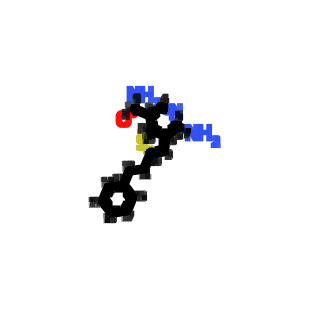 NC(=O)c1cnc(N)c2cc(CCc3ccccc3)sc12